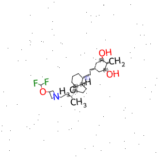 C=C1[C@H](O)CC(=C/C=C2\CCC[C@]3(C)[C@@H](C(C)CCN4CC(OC(F)F)C4)CC[C@@H]23)C[C@H]1O